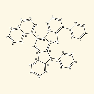 c1ccc(-c2cccc3c2sc2c3c(-c3cccc4ccccc34)cc3c4ccccc4n(-c4ccccc4)c32)cc1